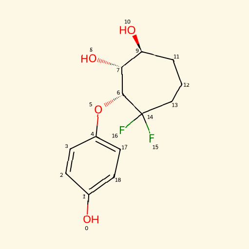 Oc1ccc(O[C@@H]2[C@H](O)[C@@H](O)CCCC2(F)F)cc1